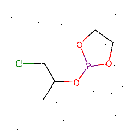 CC(CCl)OP1OCCO1